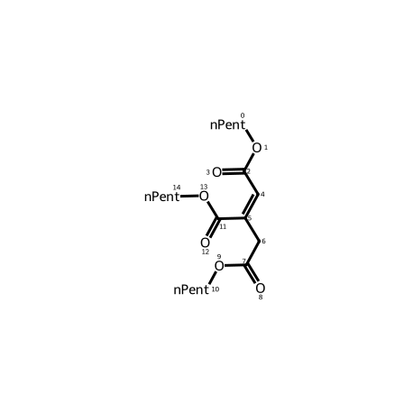 CCCCCOC(=O)C=C(CC(=O)OCCCCC)C(=O)OCCCCC